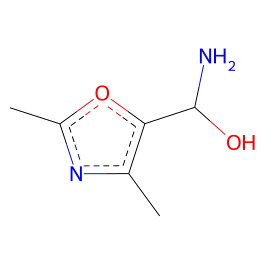 Cc1nc(C)c(C(N)O)o1